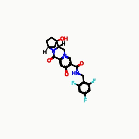 O=C(NCc1c(F)cc(F)cc1F)c1cn2c(cc1=O)C(=O)N1[C@H]3CC[C@@](O)(C3)[C@@H]1C2